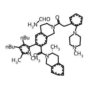 CCCCc1c(CCCC)c(-c2cc3c(cc2C(=O)N2Cc4ccccc4C[C@H]2C)CN(C(=O)Cc2ccccc2N2CCN(C)CC2)CC3)n(C)c1C.NC=O